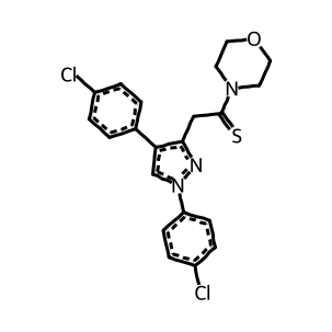 S=C(Cc1nn(-c2ccc(Cl)cc2)cc1-c1ccc(Cl)cc1)N1CCOCC1